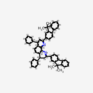 CC1(C)c2ccccc2-c2ccc(C3=Nc4c(ccc5c(-c6ccccc6)cc(-c6ccc7c(c6)C(C)(C)c6ccccc6-7)nc45)C(c4ccccc4)C3)cc21